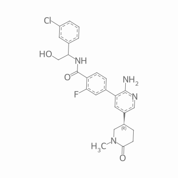 CN1C[C@@H](c2cnc(N)c(-c3ccc(C(=O)NC(CO)c4cccc(Cl)c4)c(F)c3)c2)CCC1=O